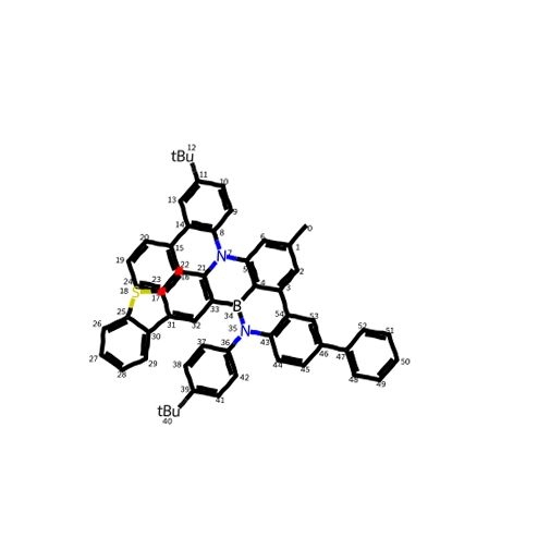 Cc1cc2c3c(c1)N(c1ccc(C(C)(C)C)cc1-c1ccccc1)c1cc4sc5ccccc5c4cc1B3N(c1ccc(C(C)(C)C)cc1)c1ccc(-c3ccccc3)cc1-2